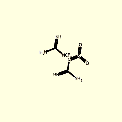 N=C(N)N=S(=O)=O.N=C(N)NC(F)(F)F